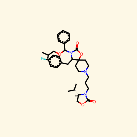 CC(C)COC(c1ccccc1)N1C(=O)OC2(CCN(CCCN3C(=O)OC[C@@H]3C(C)C)CC2)C1Cc1ccc(F)cc1